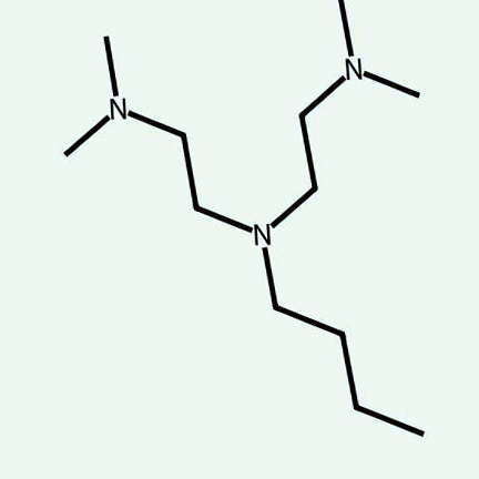 CCCCN(CCN(C)C)CCN(C)C